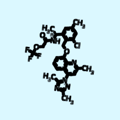 Cc1cc(Cl)c(COc2cccc3c(-n4nc(C)nc4C)cc(C)nc23)c([C@H](C)NC(=O)COC(F)(F)F)c1